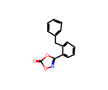 O=c1onc(-c2ccccc2Cc2ccccc2)o1